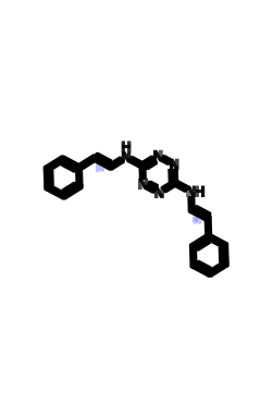 C(=C\c1ccccc1)/Nc1nnc(N/C=C/c2ccccc2)nn1